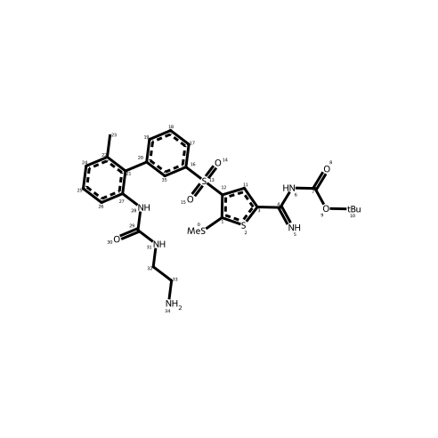 CSc1sc(C(=N)NC(=O)OC(C)(C)C)cc1S(=O)(=O)c1cccc(-c2c(C)cccc2NC(=O)NCCN)c1